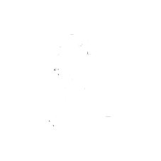 COc1cc(C#N)cc(-c2cc(C(F)(F)F)ccn2)c1